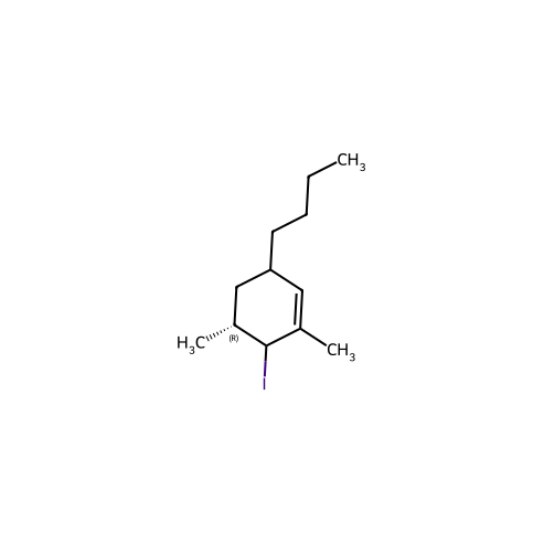 CCCCC1C=C(C)C(I)[C@H](C)C1